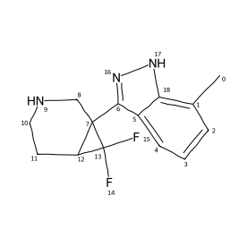 Cc1cccc2c(C34CNCCC3C4(F)F)n[nH]c12